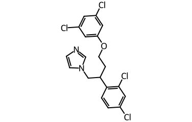 Clc1cc(Cl)cc(OCCC(Cn2ccnc2)c2ccc(Cl)cc2Cl)c1